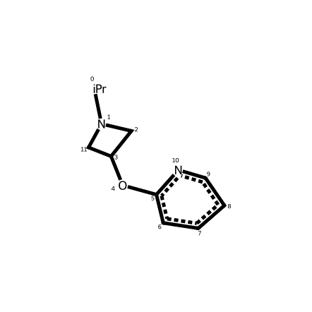 CC(C)N1CC(Oc2ccccn2)C1